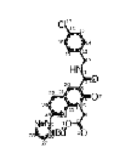 CC(C)(C)OC(=O)Cn1c(=O)c(C(=O)NCc2ccc(Cl)cc2)cc2ccc(-n3nccn3)nc21